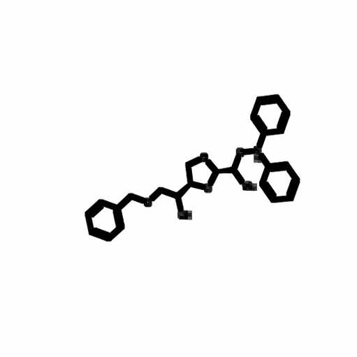 CC(C)(C)C(O[SiH](c1ccccc1)c1ccccc1)[C@@H]1OC[C@H](C(O)COCc2ccccc2)O1